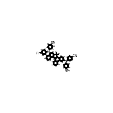 CC(C)c1ccc(N(c2ccc(C#N)cc2)c2ccc3c4c(c5ccccc5c3c2)-c2c(cc(N(c3ccc(C#N)cc3)c3ccc(C(C)C)cc3)c3ccccc23)C4(C)C)cc1